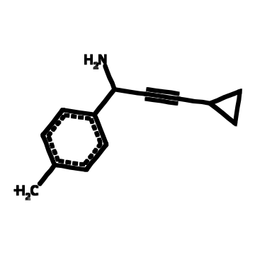 [CH2]c1ccc(C(N)C#CC2CC2)cc1